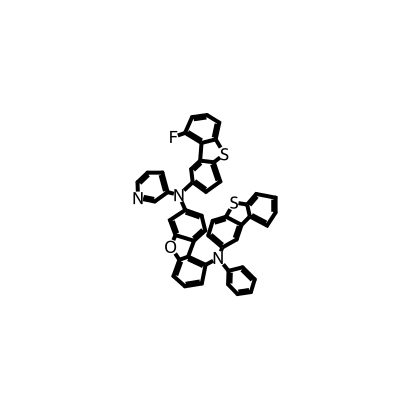 Fc1cccc2sc3ccc(N(c4cccnc4)c4ccc5c(c4)oc4cccc(N(c6ccccc6)c6ccc7sc8ccccc8c7c6)c45)cc3c12